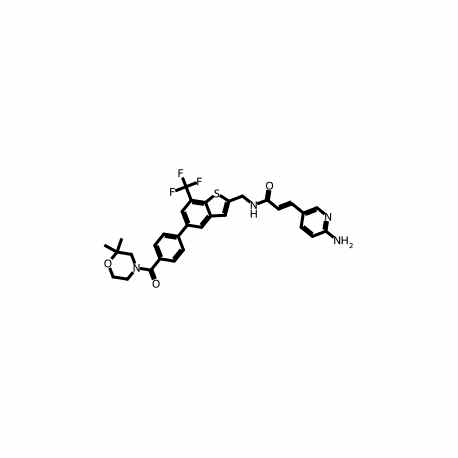 CC1(C)CN(C(=O)c2ccc(-c3cc(C(F)(F)F)c4sc(CNC(=O)/C=C/c5ccc(N)nc5)cc4c3)cc2)CCO1